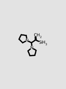 C=C([SiH3])C(N1CCCC1)N1CCCC1